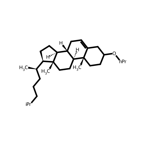 CCCOC1CC[C@@]2(C)C(=CC[C@H]3[C@@H]4CC[C@H]([C@H](C)CCCC(C)C)[C@@]4(C)CC[C@@H]32)C1